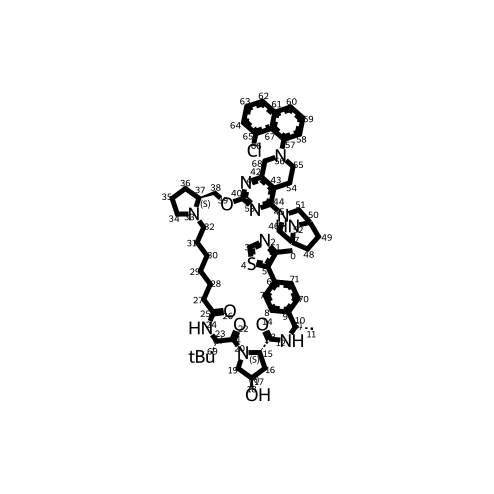 Cc1ncsc1-c1ccc([C@H](C)NC(=O)[C@@H]2C[C@@H](O)CN2C(=O)[C@@H](NC(=O)CCCCCCN2CCC[C@H]2COc2nc3c(c(N4CC5CCC(C4)N5)n2)CCN(c2cccc4cccc(Cl)c24)C3)C(C)(C)C)cc1